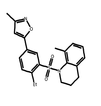 CCc1ccc(-c2cc(C)no2)cc1S(=O)(=O)N1CCCc2cccc(C)c21